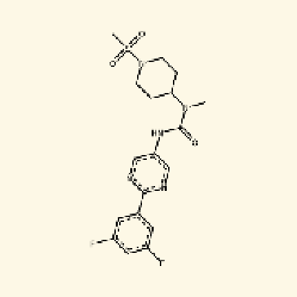 CN(C(=O)Nc1cnc(-c2cc(F)cc(F)c2)nc1)C1CCN(S(C)(=O)=O)CC1